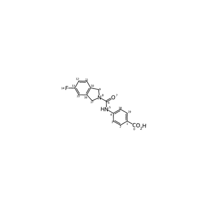 O=C(O)c1ccc(NC(=O)N2Cc3ccc(F)cc3C2)cc1